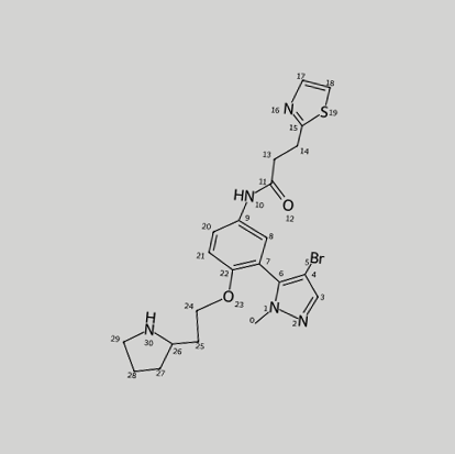 Cn1ncc(Br)c1-c1cc(NC(=O)CCc2nccs2)ccc1OCCC1CCCN1